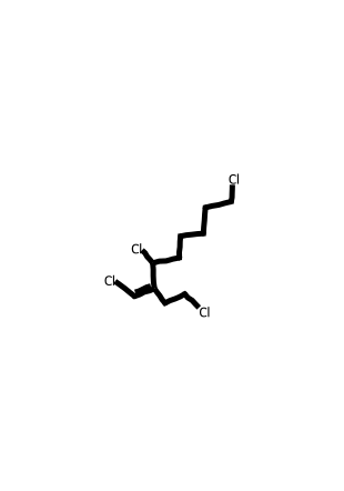 ClC=C(CCCl)C(Cl)CCCCCCl